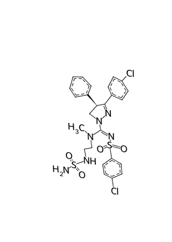 CN(CCNS(N)(=O)=O)/C(=N\S(=O)(=O)c1ccc(Cl)cc1)N1C[C@@H](c2ccccc2)C(c2ccc(Cl)cc2)=N1